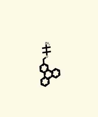 CC(C)(P)C(C)(C)OCc1ccc2c3ccccc3c3ccccc3c2c1